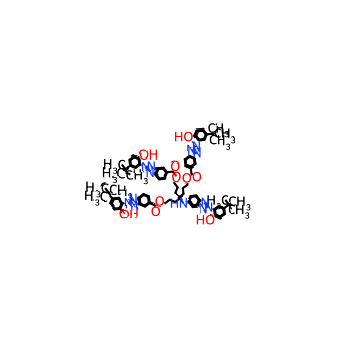 CC(C)(C)c1ccc(O)c(-n2n3c4ccc(NC(CCCOC(=O)c5ccc6c(c5)n5n(-c7cc(C(C)(C)C)ccc7O)n65)(CCCOC(=O)c5ccc6c(c5)n5n(-c7cc(C(C)(C)C)ccc7O)n65)CCCOC(=O)c5ccc6c(c5)n5n(-c7cc(C(C)(C)C)ccc7O)n65)cc4n23)c1